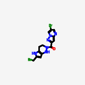 O=C(c1cc2ncc(Br)cn2n1)N1CCc2[nH]c(CBr)cc2N1